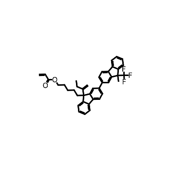 C=CC(=O)OCCCCCC1(C(=C)CC)c2ccccc2-c2ccc(-c3ccc4c(c3)C(C)(C(F)(F)F)c3ccccc3-4)cc21